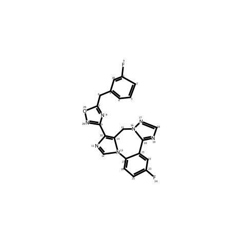 Fc1cccc(Cc2nc(-c3ncn4c3Cn3ncnc3-c3cc(F)ccc3-4)no2)c1